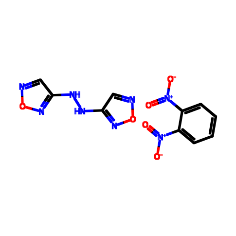 O=[N+]([O-])c1ccccc1[N+](=O)[O-].c1nonc1NNc1cnon1